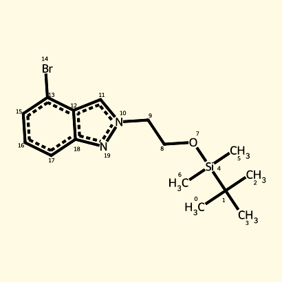 CC(C)(C)[Si](C)(C)OCCn1cc2c(Br)cccc2n1